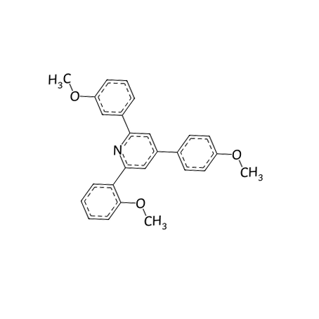 COc1ccc(-c2cc(-c3cccc(OC)c3)nc(-c3ccccc3OC)c2)cc1